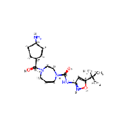 CC(C)(C)c1cc(NC(=O)N2CCCN(C(=O)C3CCC(N)CC3)CC2)no1